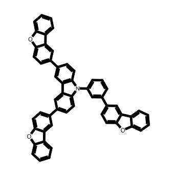 c1cc(-c2ccc3oc4ccccc4c3c2)cc(-n2c3ccc(-c4ccc5oc6ccccc6c5c4)cc3c3cc(-c4ccc5oc6ccccc6c5c4)ccc32)c1